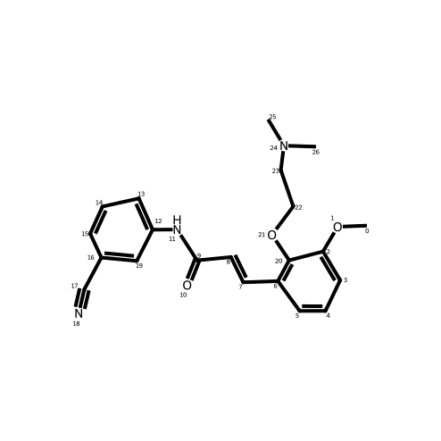 COc1cccc(/C=C/C(=O)Nc2cccc(C#N)c2)c1OCCN(C)C